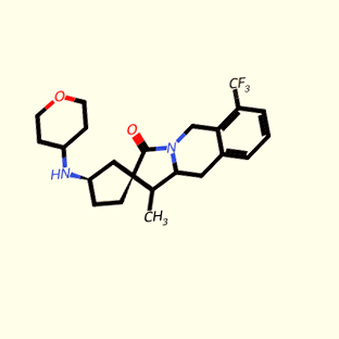 CC1C2Cc3cccc(C(F)(F)F)c3CN2C(=O)[C@]12CC[C@@H](NC1CCOCC1)C2